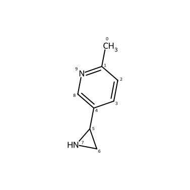 Cc1ccc(C2CN2)cn1